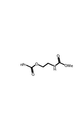 CCCC(=O)OCCNC(=O)OC